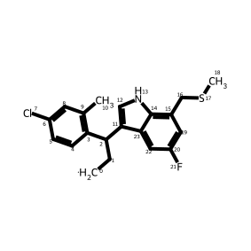 [CH2]CC(c1ccc(Cl)cc1C)c1c[nH]c2c(CSC)cc(F)cc12